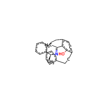 C/C(=N\[C@@H](C)c1ccccc1)c1c2ccc(c1O)CCc1ccc(cc1)CCC2